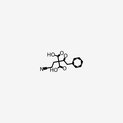 N#CCCC(C(=O)O)(C(=O)O)C(=O)Cc1ccccc1